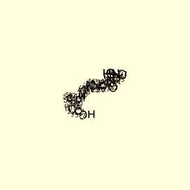 C[C@H]1CCc2cc(O)ccc2C(c2ccc(N3CCC(CN4CCN(c5ccc6c(c5)CN([C@H]5CCC(=O)NC5=O)C6=O)CC4)CC3)cc2)=C1c1ccccc1